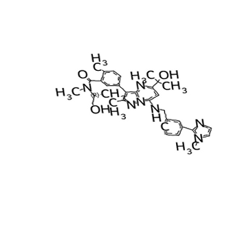 Cc1ccc(-c2c(C)nn3c(NCc4cccc(-c5nccn5C)c4)cc(C(C)(C)O)nc23)cc1C(=O)N(C)[C@H](C)CO